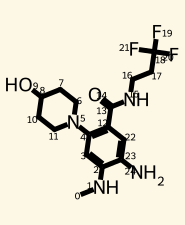 CNc1cc(N2CCC(O)CC2)c(C(=O)NCCC(F)(F)F)cc1N